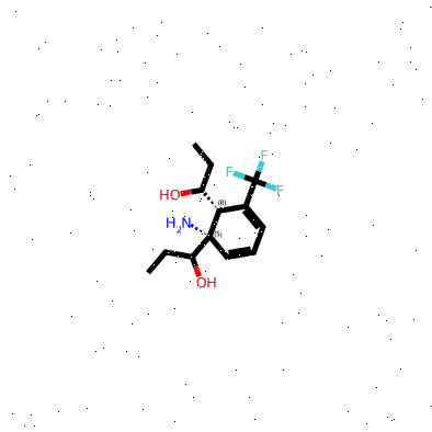 CCC(O)[C@@H]1C(C(F)(F)F)=CC=C[C@@]1(N)C(O)CC